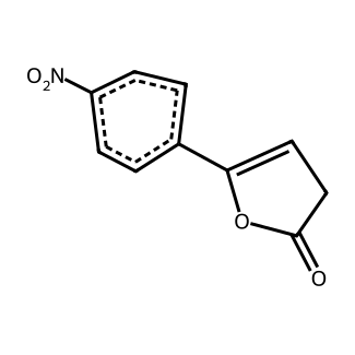 O=C1CC=C(c2ccc([N+](=O)[O-])cc2)O1